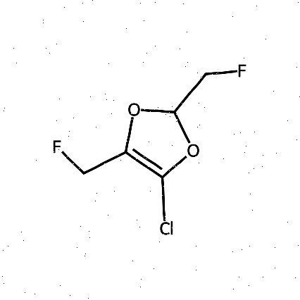 FCC1=C(Cl)OC(CF)O1